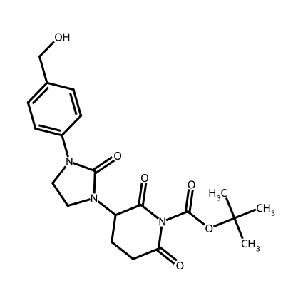 CC(C)(C)OC(=O)N1C(=O)CCC(N2CCN(c3ccc(CO)cc3)C2=O)C1=O